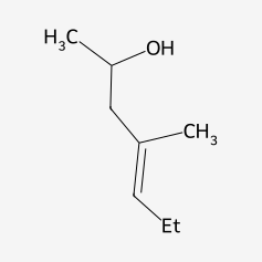 CC/C=C(\C)CC(C)O